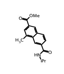 COC(=O)c1cc(C)c2cc(C(=O)NC(C)C)ccc2c1